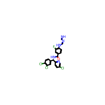 N=C/N=C\Nc1ccc(C(=O)N[C@@H](c2ccc(Cl)c(Cl)c2)c2ccc(Cl)cn2)cc1F